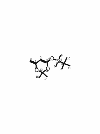 C=C1C=C(O[Si](C)(C)C(C)(C)C)OC(C)(C)O1